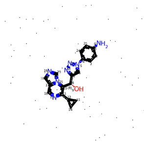 Nc1ccc(-n2cc([C@H](O)c3c(C4CC4)ncc4cncn34)nn2)cc1